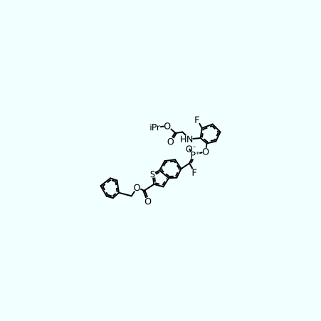 CC(C)OC(=O)CNc1c(F)cccc1O/[P+]([O-])=C(\F)c1ccc2sc(C(=O)OCc3ccccc3)cc2c1